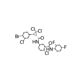 O=C(Nc1ccc(F)cc1F)c1cc(NC(=O)[C@@H]2[C@@H](c3ccc(Br)c(Cl)c3)C2(Cl)Cl)ccc1Cl